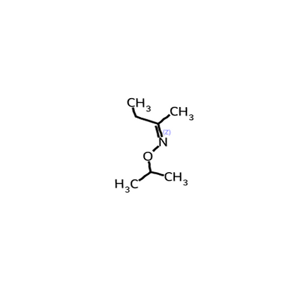 CC/C(C)=N\OC(C)C